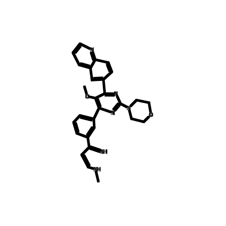 CN/C=C\C(=N)c1cccc(-c2nc(N3CCOCC3)nc(-c3ccc4ncccc4c3)c2OC)c1